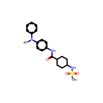 CC(C)N(c1ccccc1)c1ccc(NC(=O)C2CCC(NS(=O)(=O)C(C)(C)C)CC2)cc1